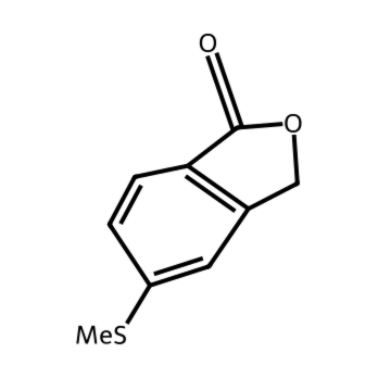 CSc1ccc2c(c1)COC2=O